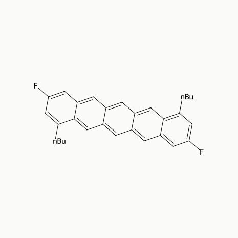 CCCCc1cc(F)cc2cc3cc4cc5c(CCCC)cc(F)cc5cc4cc3cc12